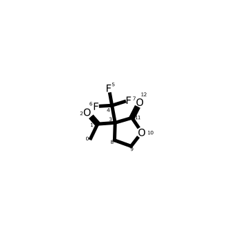 CC(=O)C1(C(F)(F)F)CCOC1=O